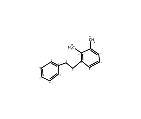 Cc1cc[c]c(CCc2ccccc2)c1C